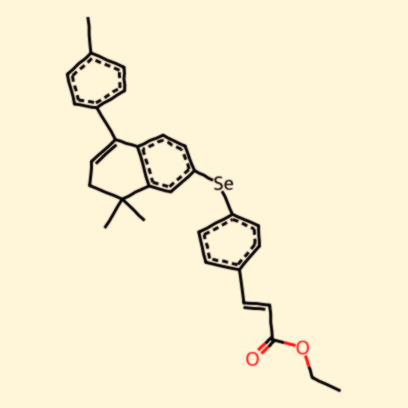 CCOC(=O)/C=C/c1ccc([Se]c2ccc3c(c2)C(C)(C)CC=C3c2ccc(C)cc2)cc1